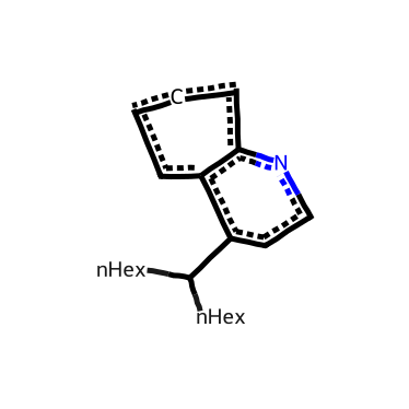 CCCCCCC(CCCCCC)c1ccnc2ccccc12